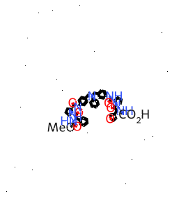 COC(=O)N[C@@H](C(=O)N1CCC[C@H]1C(=O)Nc1ccc(CN(Cc2ccc(NC(=O)[C@@H]3CCCN3C(=O)[C@@H](NC(=O)O)[C@H]3CCOC3)cc2)c2ccccc2)cc1)c1ccccc1